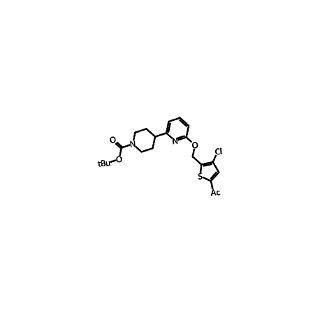 CC(=O)c1cc(Cl)c(COc2cccc(C3CCN(C(=O)OC(C)(C)C)CC3)n2)s1